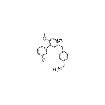 COc1ccc(Cc2ccc(CN)cc2)cc1-c1cccc(Cl)c1.Cl